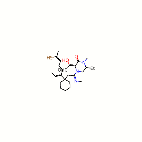 C/C=C(\CCC=C(C)S)C1(C/C(=N/C)N2CC(CC)N(C)C(=O)/C2=C(\O)C=O)CCCCC1